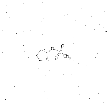 CS(=O)(=O)O[C@H]1CCCS1